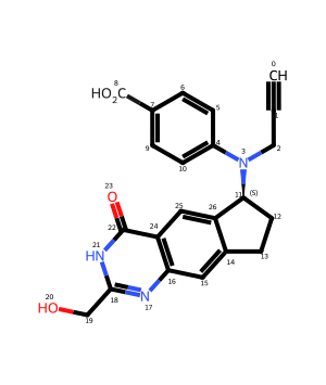 C#CCN(c1ccc(C(=O)O)cc1)[C@H]1CCc2cc3nc(CO)[nH]c(=O)c3cc21